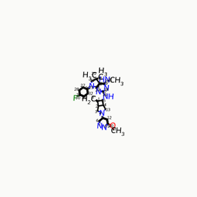 C=C1C2CN(c3cnnc(OC)c3)CC2C1Nc1nc(NC)c2c(n1)N(c1ccc(F)cc1)CC2(C)C